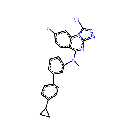 CN(c1cccc(-c2ccc(C3CC3)cc2)c1)c1nc2nnc(N)n2c2cc(Cl)ccc12